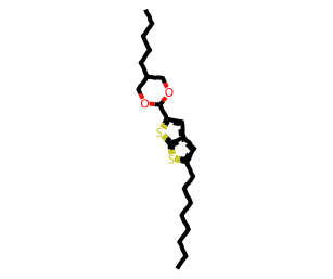 CCCCCCCCc1cc2cc(C3OCC(CCCCC)CO3)sc2s1